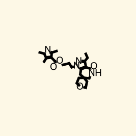 CCc1nn(CCCOC(=O)C2=C(C)C(C)N=C2C)c2c1C(=O)NCC1(CCOCC1)C2